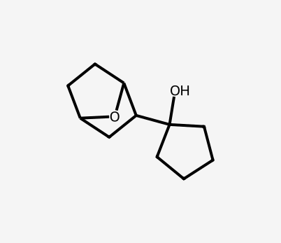 OC1(C2CC3CCC2O3)CCCC1